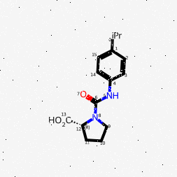 CC(C)c1ccc(NC(=O)N2CCC[C@@H]2C(=O)O)cc1